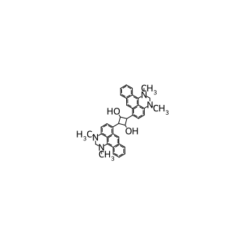 CN1CN(C)c2c3ccccc3cc3c(C4C(O)C(c5ccc6c7c(c8ccccc8cc57)N(C)CN6C)C4O)ccc1c23